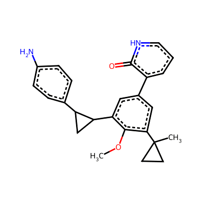 COc1c(C2CC2c2ccc(N)cc2)cc(-c2ccc[nH]c2=O)cc1C1(C)CC1